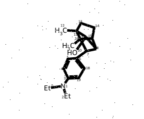 CCN(CC)c1ccc(C2C3C(O)C4(C)CCC3C24C)cc1